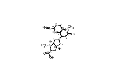 C[C@@H]1[C@H]2CN(c3cc(=O)n(C)c4ccc(C#N)nc34)C[C@H]2CN1C(=O)O